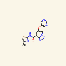 Cc1nc(NC(=O)c2cc(Oc3cncnc3)cn3ncnc23)sc1F